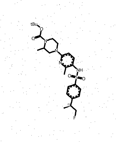 Cc1nc(N2CCN(C(=O)OC(C)(C)C)C(C)C2)ccc1NS(=O)(=O)c1ccc([C@H](C)CF)cc1